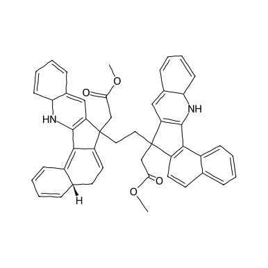 COC(=O)CC1(CCC2(CC(=O)OC)C3=C(NC4C=CC=CC4=C3)c3c2ccc2ccccc32)C2=CC[C@@H]3C=CC=CC3=C2C2=C1C=C1C=CC=CC1N2